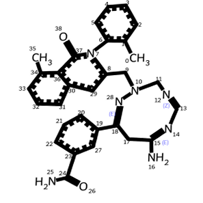 Cc1ccccc1-n1c(CN2C/N=C\N=C(\N)C/C(c3cccc(C(N)=O)c3)=N\2)cc2cccc(C)c2c1=O